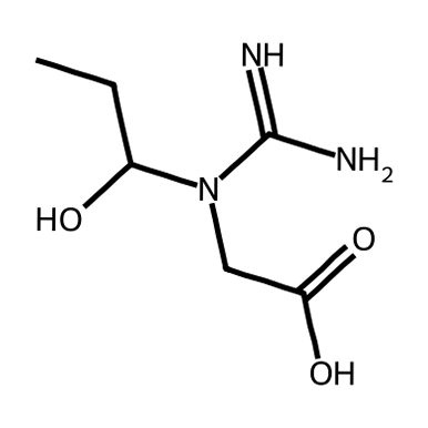 CCC(O)N(CC(=O)O)C(=N)N